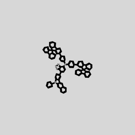 c1ccc(-n2c3ccc(-c4ccc(N(c5ccc(-c6ccc7c(c6)C6(c8ccccc8-c8ccccc86)c6ccccc6-7)cc5)c5ccc(-c6ccc7c(c6)C6(c8ccccc8-c8ccccc86)c6ccccc6-7)cc5)c5nsnc45)cc3c3cc4ccccc4cc32)cc1